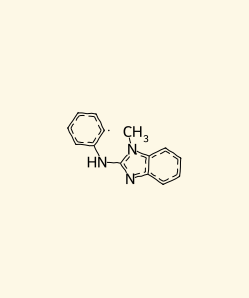 Cn1c(Nc2[c]cccc2)nc2ccccc21